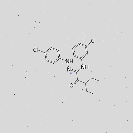 CCC(CC)C(=O)/C(=N/Nc1ccc(Cl)cc1)Nc1cccc(Cl)c1